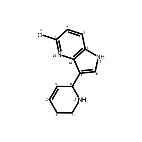 Clc1ccc2[nH]cc(C3C=CCCN3)c2n1